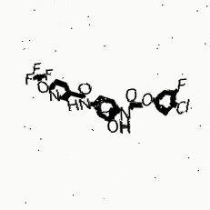 O=C(COc1ccc(Cl)c(F)c1)NC12CCC(NC(=O)c3ccc(OC(F)(F)F)nc3)(CC1)CC2O